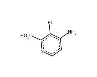 CCc1c(N)ccnc1C(=O)O